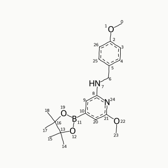 COc1ccc(CNc2cc(B3OC(C)(C)C(C)(C)O3)cc(OC)n2)cc1